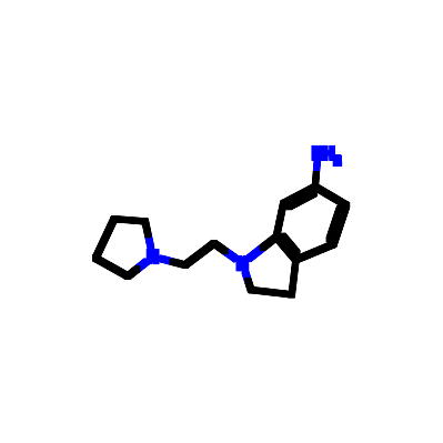 Nc1ccc2c(c1)N(CCN1CCCC1)CC2